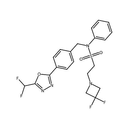 O=S(=O)(CCN1CC(F)(F)C1)N(Cc1ccc(-c2nnc(C(F)F)o2)cc1)c1ccccc1